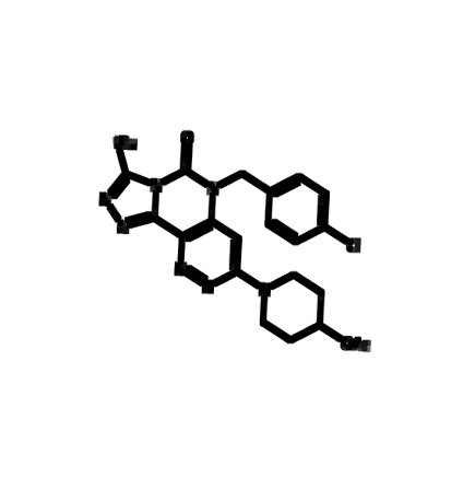 CC(=O)OC1CCN(c2cc3c(nn2)c2nnc(C(C)(C)C)n2c(=O)n3Cc2ccc(Cl)cc2)CC1